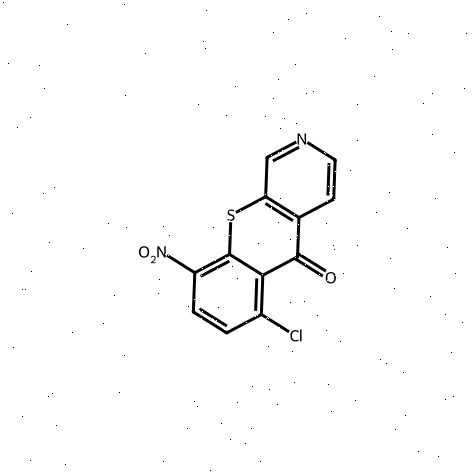 O=c1c2ccncc2sc2c([N+](=O)[O-])ccc(Cl)c12